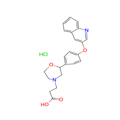 Cl.O=C(O)CCN1CCOC(c2ccc(Oc3cnc4ccccc4c3)cc2)C1